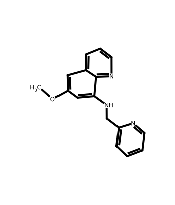 COc1cc(NCc2ccccn2)c2ncccc2c1